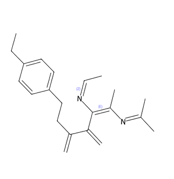 C=C(CCc1ccc(CC)cc1)C(=C)C(/N=C\C)=C(/C)N=C(C)C